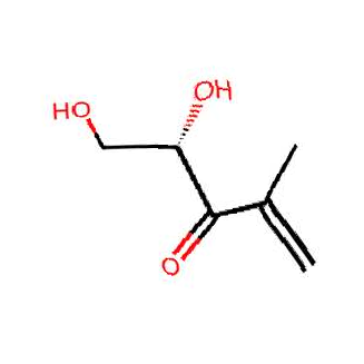 C=C(C)C(=O)[C@@H](O)CO